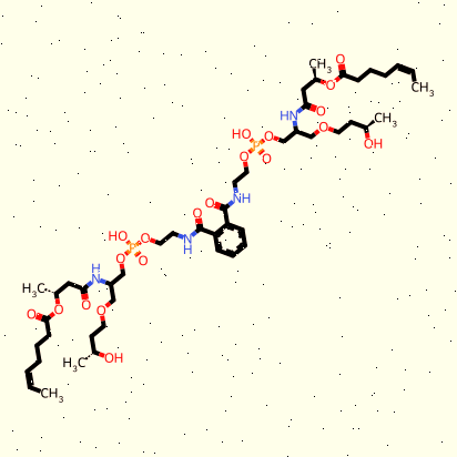 C/C=C\CCCC(=O)O[C@H](C)CC(=O)NC(COCC[C@@H](C)O)COP(=O)(O)OCCNC(=O)c1ccccc1C(=O)NCCOP(=O)(O)OCC(COCC[C@@H](C)O)NC(=O)C[C@@H](C)OC(=O)CCC/C=C\C